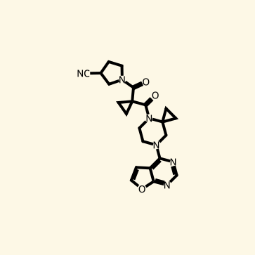 N#CC1CCN(C(=O)C2(C(=O)N3CCN(c4ncnc5occc45)CC34CC4)CC2)C1